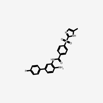 Cc1cnc(S(=O)(=O)c2ccc(C(=O)Nc3cc(-c4ccc(F)cc4)ccc3N)cc2)[nH]1